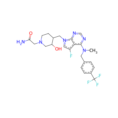 CN(Cc1ccc(C(F)(F)F)cc1)c1ncnc2c1c(F)cn2CC1CCN(CC(N)=O)CC1O